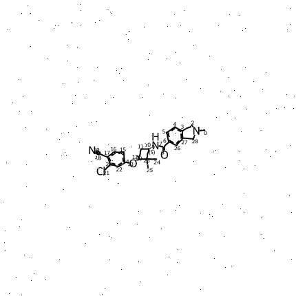 CN1Cc2ccc(C(=O)N[C@H]3C[C@H](Oc4ccc(C#N)c(Cl)c4)C3(C)C)cc2C1